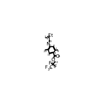 CCN(C)/C=N/c1cc(C)c(C(=O)OCC(F)(F)C(F)(F)F)cc1C